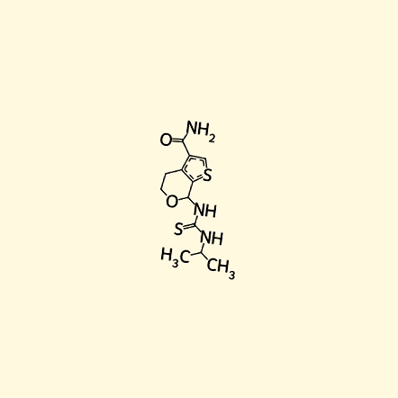 CC(C)NC(=S)NC1OCCc2c(C(N)=O)csc21